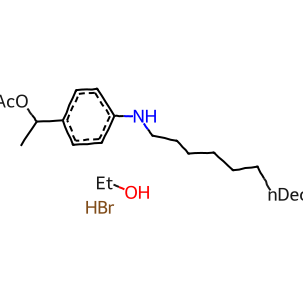 Br.CCCCCCCCCCCCCCCCNc1ccc(C(C)OC(C)=O)cc1.CCO